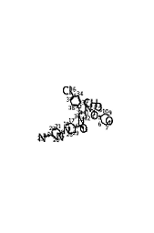 CN(C(=O)OC1CCOCC1)[C@@H]1CN(C(=O)C2CCN(c3ccc(C#N)cn3)CC2)C[C@H]1c1ccc(Cl)cc1